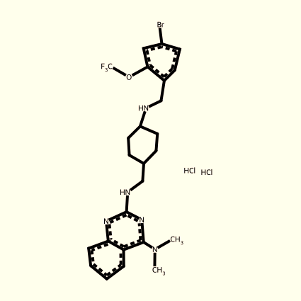 CN(C)c1nc(NCC2CCC(NCc3ccc(Br)cc3OC(F)(F)F)CC2)nc2ccccc12.Cl.Cl